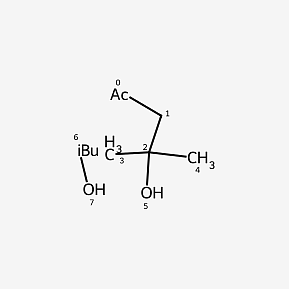 CC(=O)CC(C)(C)O.CCC(C)O